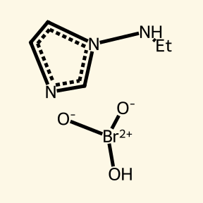 CCNn1ccnc1.[O-][Br+2]([O-])O